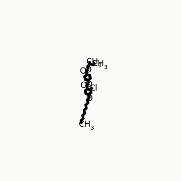 CCCCCCCCCCOc1ccc(C(=O)Oc2ccc(C(=O)OCC(C)CC)cc2)c(Cl)c1